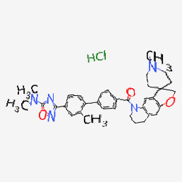 Cc1cc(-c2noc(N(C)C)n2)ccc1-c1ccc(C(=O)N2CCCc3cc4c(cc32)C2(CCN(C)CC2)CO4)cc1.Cl